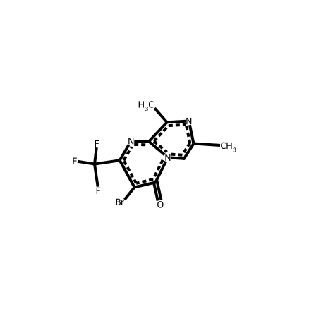 Cc1cn2c(=O)c(Br)c(C(F)(F)F)nc2c(C)n1